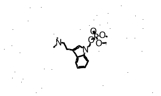 COP(=O)(OC)OCn1cc(CCN(C)C)c2ccccc21